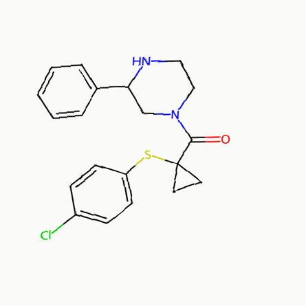 O=C(N1CCNC(c2ccccc2)C1)C1(Sc2ccc(Cl)cc2)CC1